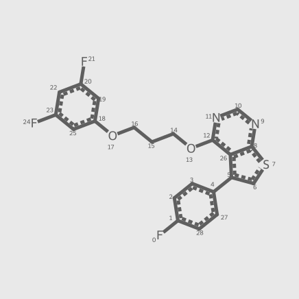 Fc1ccc(-c2csc3ncnc(OCCCOc4cc(F)cc(F)c4)c23)cc1